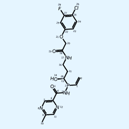 C=CP(NC(=O)c1cnc(C)cn1)[C@@H](O)CCNC(=O)COc1ccc(Cl)c(F)c1